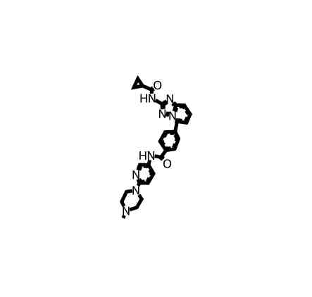 CN1CCN(c2ccc(NC(=O)c3ccc(-c4cccc5nc(NC(=O)C6CC6)nn45)cc3)cn2)CC1